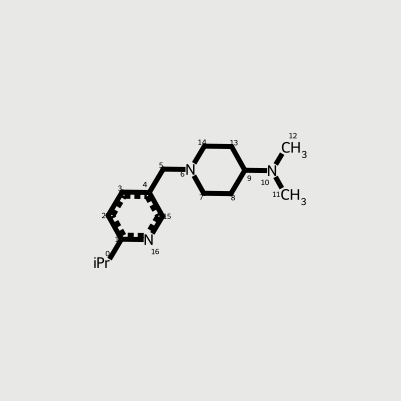 CC(C)c1ccc(CN2CCC(N(C)C)CC2)cn1